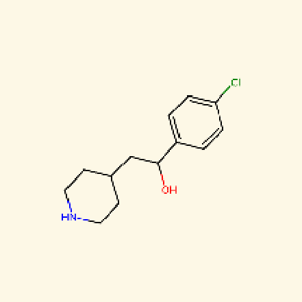 OC(CC1CCNCC1)c1ccc(Cl)cc1